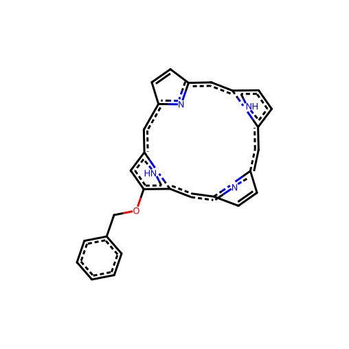 C1=Cc2cc3cc(OCc4ccccc4)c(cc4nc(cc5ccc(cc1n2)[nH]5)C=C4)[nH]3